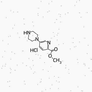 COC(=O)c1ccc(N2CCNCC2)cn1.Cl